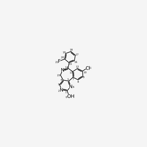 Oc1ncc2c(n1)-c1ccc(Cl)cc1C(c1ccccc1F)=NC2